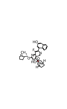 CN1CCCC1COc1nc(N2C[C@H]3CC[C@@H](C2)N3C(=O)O)c2cnc(-c3cc(O)cc4ccccc34)c(F)c2n1